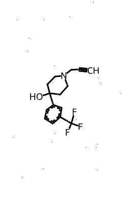 C#CCN1CCC(O)(c2cccc(C(F)(F)F)c2)CC1